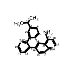 CC(C)c1cccc(-c2ncccc2-c2ccc3nccc(N)c3c2)c1